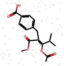 COC(=O)/C(Cc1ccc(C(=O)O)cc1)=C(\OC(C)=O)C(C)C